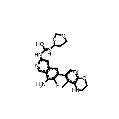 Cc1c(-c2cc3cc(NC(O)=[SH]C4CCOCC4)ncc3c(N)c2F)cnc2c1NCCO2